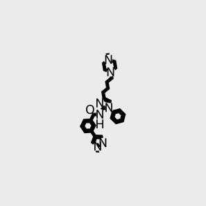 CN1CCN(CCCCc2cn(-c3ccccc3)c(NC(=O)c3cccc(-c4cnn(C)c4)c3)n2)CC1